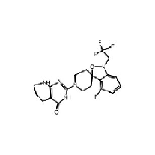 O=c1[nH]c(N2CCC3(CC2)ON(CC(F)(F)F)c2cccc(F)c23)nc2c1CCCN2